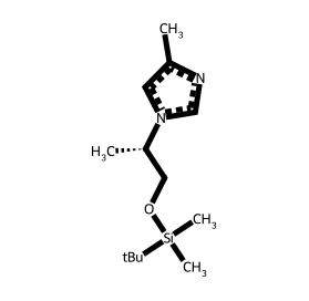 Cc1cn([C@@H](C)CO[Si](C)(C)C(C)(C)C)cn1